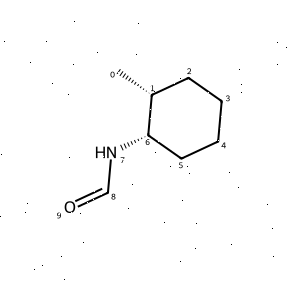 C[C@@H]1CCCC[C@@H]1NC=O